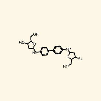 CCC1CC(Nc2ccc(-c3ccc(NC4CC(O)C(CO)O4)cc3)cc2)OC1CO